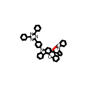 c1ccc(-c2nc(-c3ccccc3)nc(-c3ccc(-n4c5ccccc5c5c6c(ccc54)C4(c5ccccc5O6)c5ccccc5N(c5ccccc5)c5ccccc54)cc3)n2)cc1